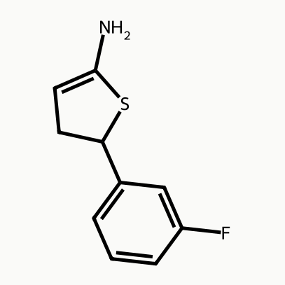 NC1=CCC(c2cccc(F)c2)S1